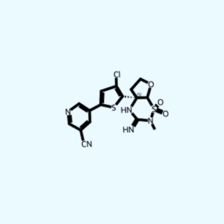 CN1C(=N)N[C@@]2(c3sc(-c4cncc(C#N)c4)cc3Cl)CCOC2S1(=O)=O